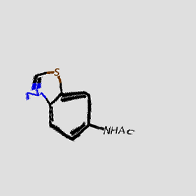 CC(=O)Nc1ccc2ncsc2c1